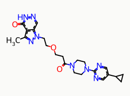 Cc1nn(CCOCCC(=O)N2CCN(c3ncc(C4CC4)cn3)CC2)c2cn[nH]c(=O)c12